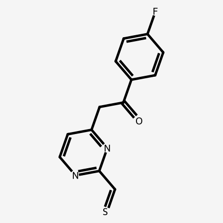 O=C(Cc1ccnc(C=S)n1)c1ccc(F)cc1